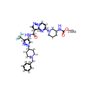 CC(C)(C)OC(=O)N[C@H]1CCCN(c2ccn3ncc(C(=O)Nc4cn(C5CCN(Cc6ccccc6)CC5)nc4C(F)F)c3n2)C1